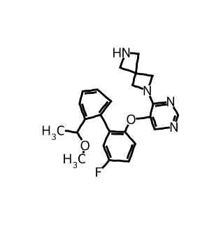 COC(C)c1ccccc1-c1cc(F)ccc1Oc1cncnc1N1CC2(CNC2)C1